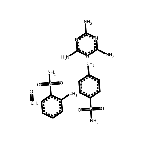 C=O.Cc1ccc(S(N)(=O)=O)cc1.Cc1ccccc1S(N)(=O)=O.Nc1nc(N)nc(N)n1